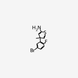 CC1(c2cc(Br)ccc2F)C=CSC(N)=C1